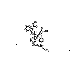 C=CCOc1ccc(CC(NC(=O)OC(C)(C)C)C(=O)NC(Cc2cn(C(=O)OC(C)(C)C)c3ccccc23)C(=O)NC(CC=C)C(=O)OC)cc1